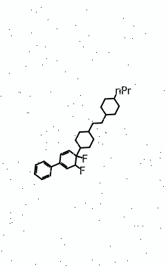 CCCC1CCC(CCC2CCC(C3(F)C=CC(c4ccccc4)=CC3F)CC2)CC1